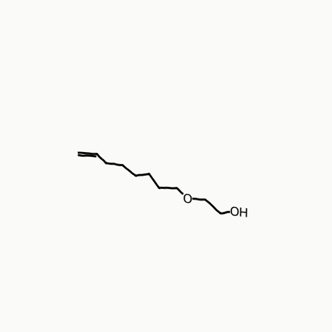 C=CCCCCCCOCCO